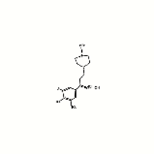 CCCN1CCN(CCC(=O)c2cc(O)c(O)c([N+](=O)[O-])c2)CC1.Cl.Cl